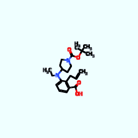 C=CCc1c(C(=O)O)cccc1N(CC)C1CCN(C(=O)OC(C)(C)C)CC1